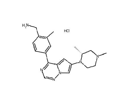 Cc1cc(-c2ncnn3cc(N4CCN(C)C[C@H]4C)cc23)ccc1CN.Cl